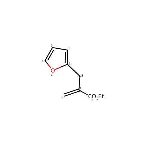 C=C(Cc1ccco1)C(=O)OCC